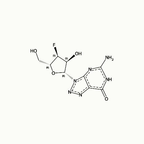 Nc1nc2c(nnn2[C@@H]2O[C@H](CO)[C@@H](F)[C@H]2O)c(=O)[nH]1